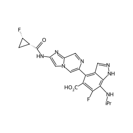 CC(C)Nc1c(F)c(C(=O)O)c(-c2cn3cc(NC(=O)[C@@H]4C[C@@H]4F)nc3cn2)c2cn[nH]c12